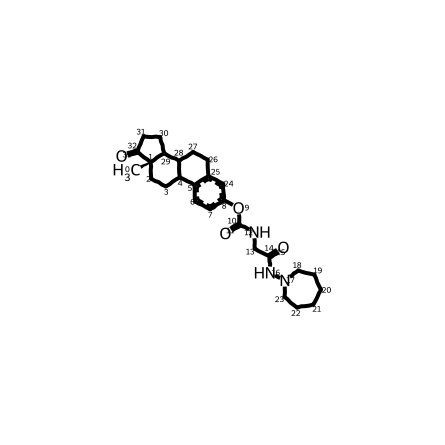 C[C@]12CCC3c4ccc(OC(=O)NCC(=O)NN5CCCCCC5)cc4CCC3C1CCC2=O